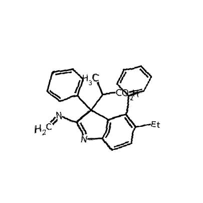 C=NC1=Nc2ccc(CC)c(-c3ccccc3)c2C1(c1ccccc1)C(C)C(=O)O